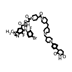 Cn1cnc2c(F)c(Nc3ccc(Br)cc3F)c(C(=O)NOCC(=O)N3CCC(C(=O)N4CCC(CC5CCN(CC6CCN(c7ccc(C8CCC(=O)NC8=O)cc7)CC6)CC5)CC4)CC3)cc21